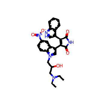 CCN(CC)CC(O)Cn1cc(C2=C(c3c[nH]c4ccccc34)C(=O)NC2=O)c2cc([N+](=O)[O-])ccc21